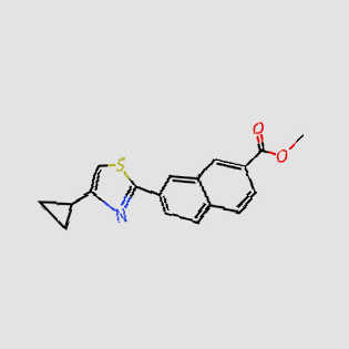 COC(=O)c1ccc2ccc(-c3nc(C4CC4)cs3)cc2c1